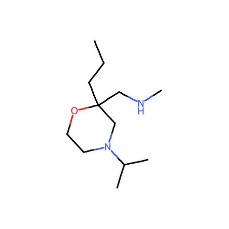 CCCC1(CNC)CN(C(C)C)CCO1